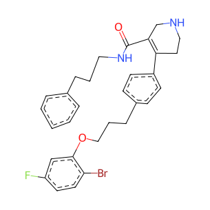 O=C(NCCCc1ccccc1)C1=C(c2ccc(CCCOc3cc(F)ccc3Br)cc2)CCNC1